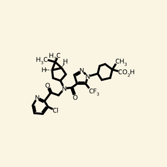 CC1(C(=O)O)CCC(n2ncc(C(=O)N(CC(=O)c3ncccc3Cl)C3C[C@@H]4[C@H](C3)C4(C)C)c2C(F)(F)F)CC1